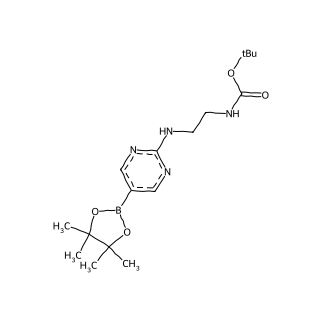 CC(C)(C)OC(=O)NCCNc1ncc(B2OC(C)(C)C(C)(C)O2)cn1